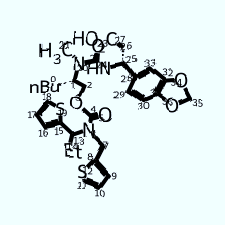 CCCC[C@@H](COC(=O)N(Cc1cccs1)C(CC)c1cccs1)N(C)C(=O)N[C@H](CC(=O)O)c1ccc2c(c1)OCO2